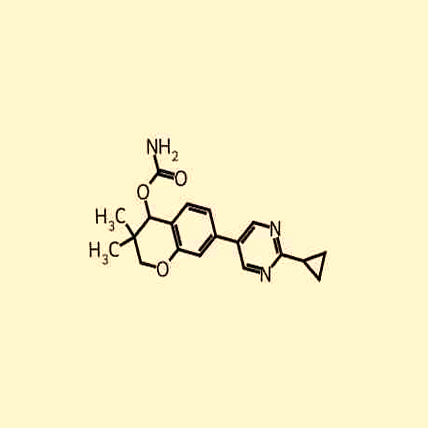 CC1(C)COc2cc(-c3cnc(C4CC4)nc3)ccc2C1OC(N)=O